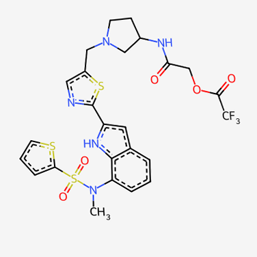 CN(c1cccc2cc(-c3ncc(CN4CCC(NC(=O)COC(=O)C(F)(F)F)C4)s3)[nH]c12)S(=O)(=O)c1cccs1